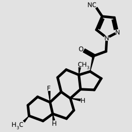 C[C@H]1CC[C@]2(F)C3CC[C@@]4(C)C(CC[C@@H]4C(=O)Cn4cc(C#N)cn4)[C@@H]3CC[C@@H]2C1